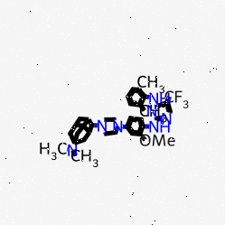 COc1cc(N2CCN(C3C4CC5CC3CC(N(C)C)(C5)C4)CC2)ccc1Nc1ncc(C(F)(F)F)c(Nc2c(C)cccc2C)n1